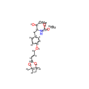 COC(=O)C(Cc1ccc(OC/C=C/B2OC(C)(C)C(C)(C)O2)cc1)NC(=O)OC(C)(C)C